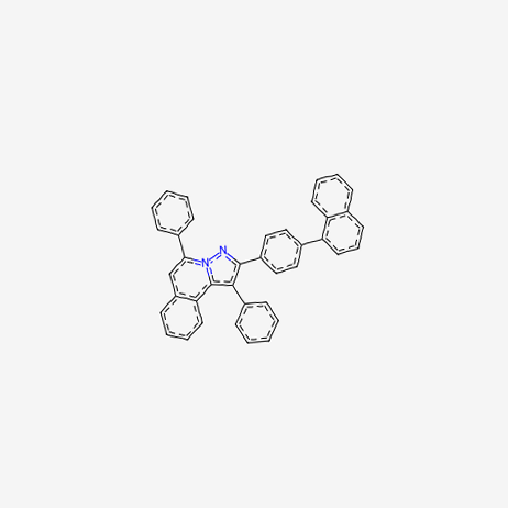 c1ccc(-c2c(-c3ccc(-c4cccc5ccccc45)cc3)nn3c(-c4ccccc4)cc4ccccc4c23)cc1